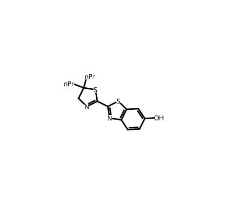 CCCC1(CCC)CN=C(c2nc3ccc(O)cc3s2)S1